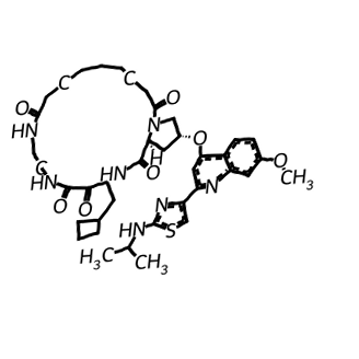 COc1ccc2c(O[C@@H]3C[C@H]4C(=O)NC(CC5CCC5)C(=O)C(=O)NCCNC(=O)CCCCCCCC(=O)N4C3)cc(-c3csc(NC(C)C)n3)nc2c1